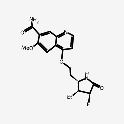 CC[C@@H]1[C@H](F)C(=O)N[C@@H]1CCOc1ccnc2cc(C(N)=O)c(OC)cc12